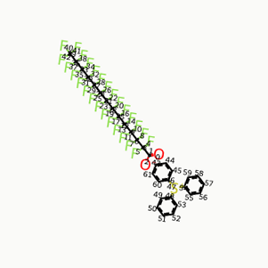 O=C([O-])C(F)(F)C(F)(F)C(F)(F)C(F)(F)C(F)(F)C(F)(F)C(F)(F)C(F)(F)C(F)(F)C(F)(F)C(F)(F)C(F)(F)C(F)(F)F.c1ccc([S+](c2ccccc2)c2ccccc2)cc1